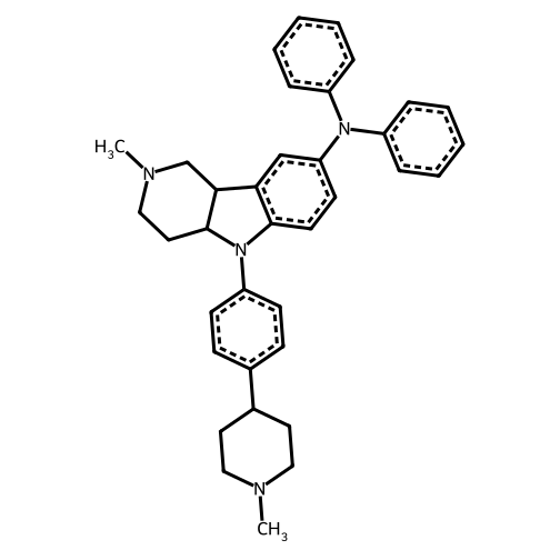 CN1CCC(c2ccc(N3c4ccc(N(c5ccccc5)c5ccccc5)cc4C4CN(C)CCC43)cc2)CC1